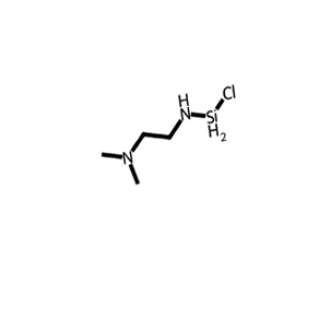 CN(C)CCN[SiH2]Cl